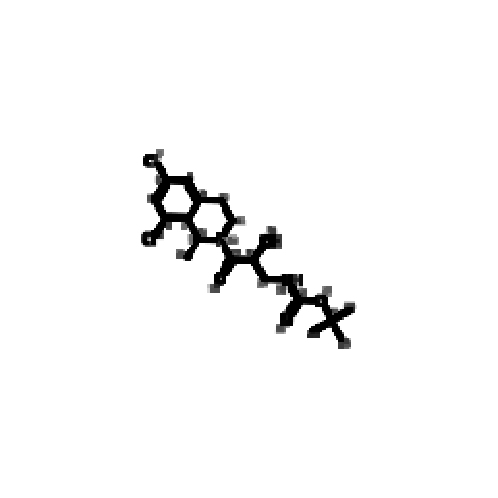 C[C@H]1c2c(Cl)cc(Cl)cc2CCN1C(=O)C(O)CNC(=O)OC(C)(C)C